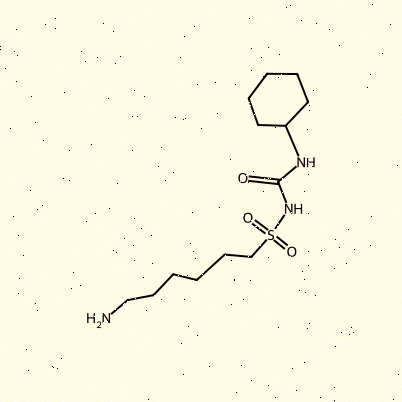 NCCCCCCS(=O)(=O)NC(=O)NC1CCCCC1